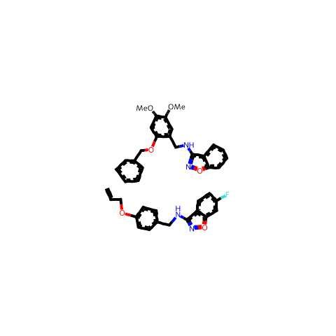 C=CCOc1ccc(CNc2noc3cc(F)ccc23)cc1.COc1cc(CNc2noc3ccccc23)c(OCc2ccccc2)cc1OC